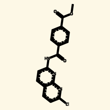 COC(=O)c1ccc(C(=O)Nc2ccc3ccc(Cl)nc3n2)cc1